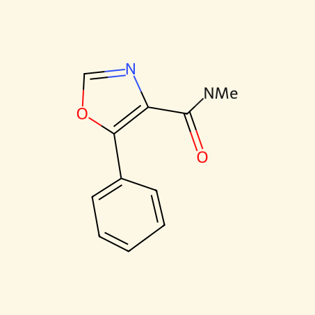 CNC(=O)c1ncoc1-c1ccccc1